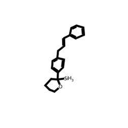 [SiH3]C1(c2ccc(CC=Cc3ccccc3)cc2)CCCCO1